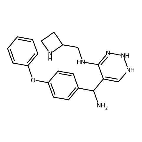 NC(C1=CNNN=C1NCC1CCN1)c1ccc(Oc2ccccc2)cc1